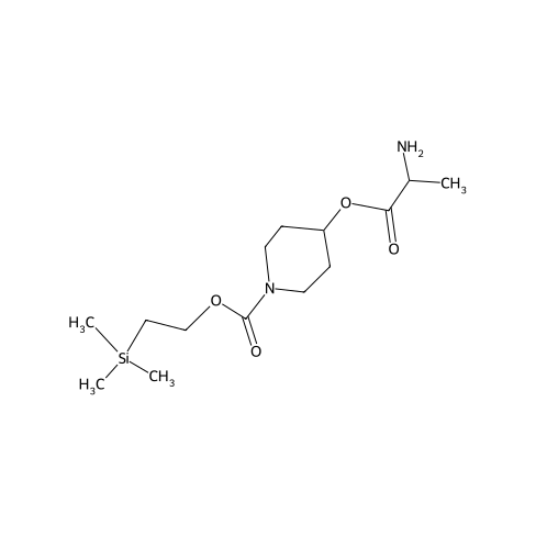 CC(N)C(=O)OC1CCN(C(=O)OCC[Si](C)(C)C)CC1